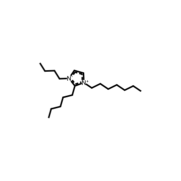 CCCCCCC[n+]1ccn(CCCC)c1CCCCC